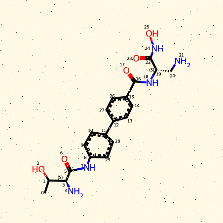 CC(O)[C@H](N)C(=O)Nc1ccc(-c2ccc(C(=O)N[C@@H](CN)C(=O)NO)cc2)cc1